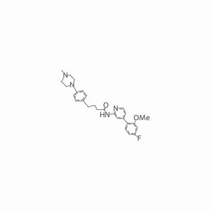 COc1cc(F)ccc1-c1ccnc(NC(=O)CCCc2ccc(N3CCN(C)CC3)cc2)c1